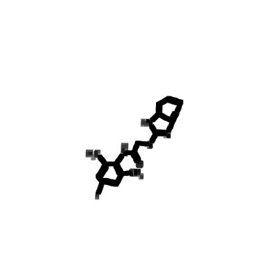 Cc1cc(I)cc(C)c1NC(=O)CSc1nc2ccccc2[nH]1